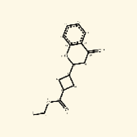 CCOC(=O)C1CC(C2CC(=O)c3ccccc3O2)C1